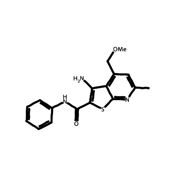 COCc1cc(C)nc2sc(C(=O)Nc3ccccc3)c(N)c12